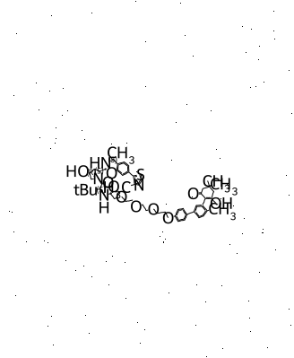 Cc1ccc(-c2ccc(OCCOCCOCCOCC(=O)N[C@H](C(=O)N3C[C@H](O)C[C@H]3C(=O)N[C@@H](C)c3ccc(-c4scnc4C)cc3)C(C)(C)C)cc2)cc1C1=C(O)CC(C)(C)CC1=O